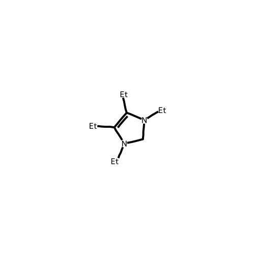 CCC1=C(CC)N(CC)CN1CC